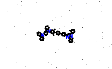 Cc1ccccc1-c1cc(-c2ccc(-c3ccc(-c4c(C)cc(-n5c6ccccc6c6cc(-n7c8ccccc8c8ccccc87)ccc65)cc4C)cc3)cc2)nc(-c2ccccc2C)n1